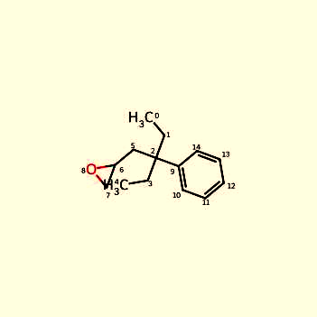 CCC(CC)(CC1CO1)c1ccccc1